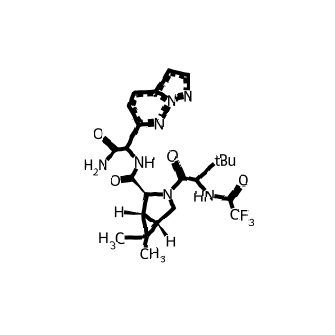 CC(C)(C)C(NC(=O)C(F)(F)F)C(=O)N1C[C@H]2[C@@H]([C@H]1C(=O)NC(C(N)=O)c1ccc3ccnn3n1)C2(C)C